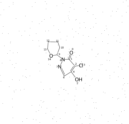 O=c1c(Cl)c(O)cnn1C1CCCCO1